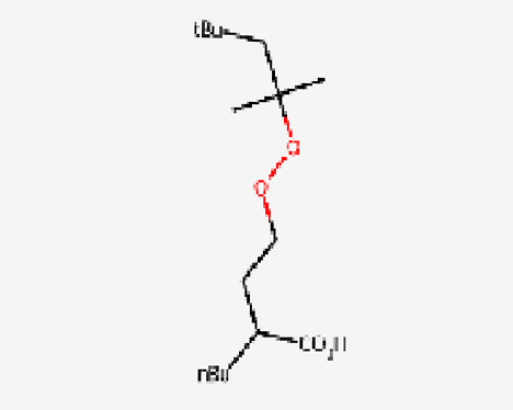 CCCCC(CCOOC(C)(C)CC(C)(C)C)C(=O)O